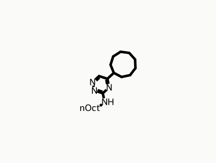 CCCCCCCCNc1nncc(C2CCCCCCCC2)n1